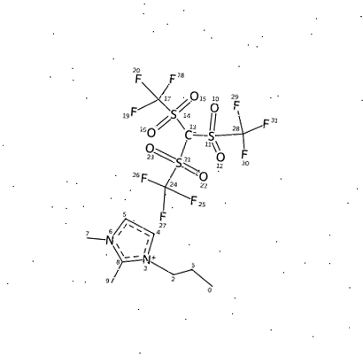 CCC[n+]1ccn(C)c1C.O=S(=O)([C-](S(=O)(=O)C(F)(F)F)S(=O)(=O)C(F)(F)F)C(F)(F)F